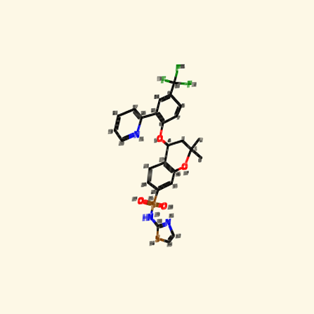 CC1(C)CC(Oc2ccc(C(F)(F)F)cc2-c2ccccn2)c2ccc(S(=O)(=O)Nc3nccs3)cc2O1